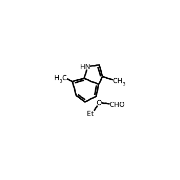 CCOC=O.Cc1c[nH]c2c(C)cccc12